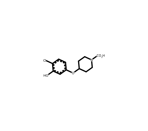 O=C(O)N1CCC(Oc2ccc(Cl)c(O)c2)CC1